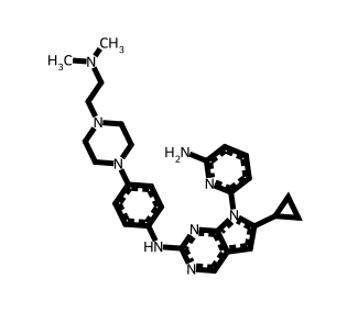 CN(C)CCN1CCN(c2ccc(Nc3ncc4cc(C5CC5)n(-c5cccc(N)n5)c4n3)cc2)CC1